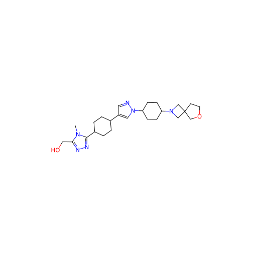 Cn1c(CO)nnc1C1CCC(c2cnn(C3CCC(N4CC5(CCOC5)C4)CC3)c2)CC1